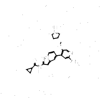 N#Cc1cc(-c2ccn3nc(NC(=O)C4CC4)cc3c2)c(OC[C@@H]2CCNC2)cn1